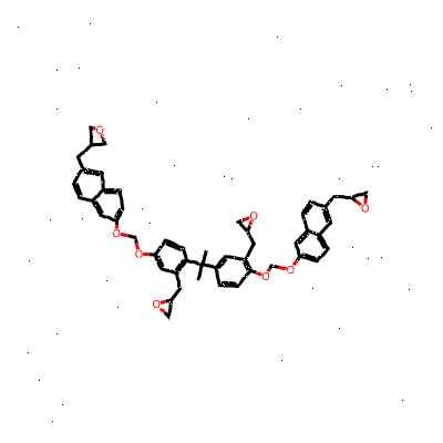 CC(C)(c1ccc(OCOc2ccc3cc(CC4CO4)ccc3c2)c(CC2CO2)c1)c1ccc(OCOc2ccc3cc(CC4COC4)ccc3c2)cc1CC1CO1